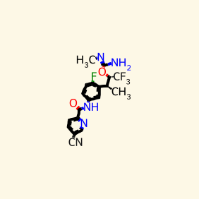 C/N=C(/N)O[C@@H]([C@@H](C)c1cc(NC(=O)c2ccc(C#N)cn2)ccc1F)C(F)(F)F